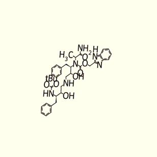 C[C@@H](C(N)=O)N(C(=O)OCc1nc2ccccc2[nH]1)[C@H](Cc1ccccc1)C(O)CNCC(O)[C@@H](Cc1ccccc1)NC(=O)OC(C)(C)C